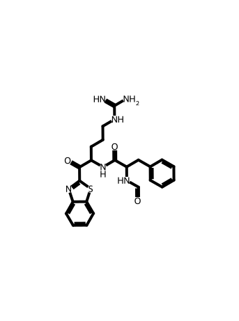 N=C(N)NCCCC(NC(=O)C(Cc1ccccc1)NC=O)C(=O)c1nc2ccccc2s1